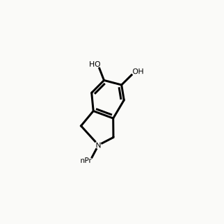 CCCN1Cc2cc(O)c(O)cc2C1